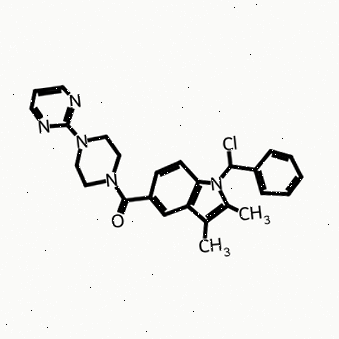 Cc1c(C)n(C(Cl)c2ccccc2)c2ccc(C(=O)N3CCN(c4ncccn4)CC3)cc12